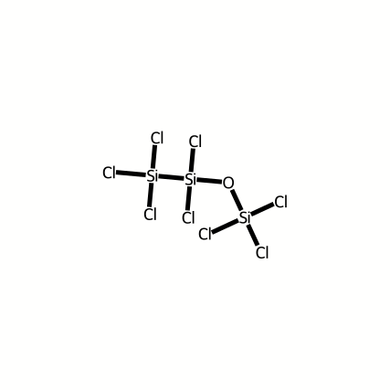 Cl[Si](Cl)(Cl)O[Si](Cl)(Cl)[Si](Cl)(Cl)Cl